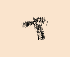 CN(C)C(On1nnc2cccnc21)=[N+](C)C.O=P(O)(O)F.O=P(O)(O)F.O=P(O)(O)F.O=P(O)(O)F.O=P(O)(O)F.O=P(O)(O)F